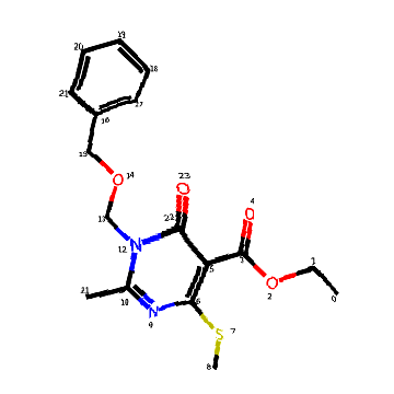 CCOC(=O)c1c(SC)nc(C)n(COCc2ccccc2)c1=O